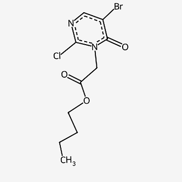 CCCCOC(=O)Cn1c(Cl)ncc(Br)c1=O